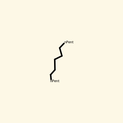 [CH2]CCCC[CH]CCCCCCCC[CH2]